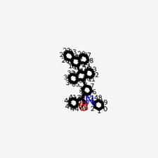 c1ccc(-n2c3ccc(-c4c5ccccc5c(-c5cc6ccccc6c6ccccc56)c5ccccc45)cc3c3c4ccccc4oc32)cc1